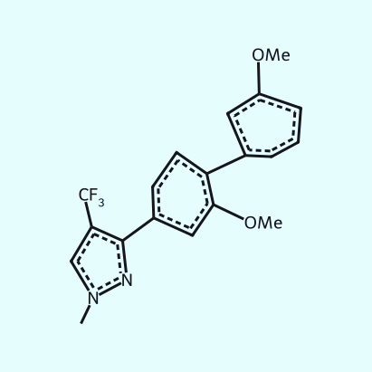 COc1cccc(-c2ccc(-c3nn(C)cc3C(F)(F)F)cc2OC)c1